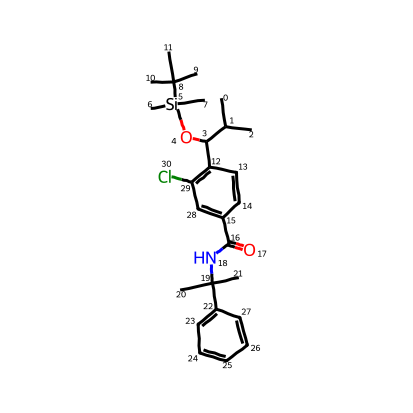 CC(C)C(O[Si](C)(C)C(C)(C)C)c1ccc(C(=O)NC(C)(C)c2ccccc2)cc1Cl